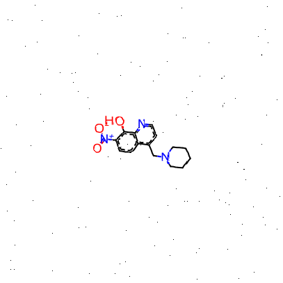 O=[N+]([O-])c1ccc2c(CN3CCCCC3)ccnc2c1O